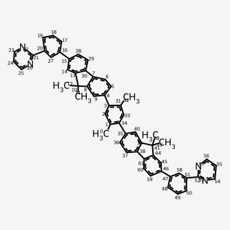 Cc1cc(-c2ccc3c(c2)C(C)(C)c2cc(-c4cccc(-c5ncccn5)c4)ccc2-3)c(C)cc1-c1ccc2c(c1)C(C)(C)c1cc(-c3cccc(-c4ncccn4)c3)ccc1-2